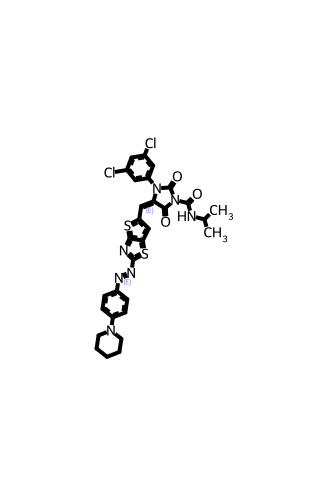 CC(C)NC(=O)N1C(=O)/C(=C\c2cc3sc(/N=N/c4ccc(N5CCCCC5)cc4)nc3s2)N(c2cc(Cl)cc(Cl)c2)C1=O